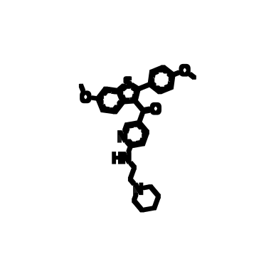 COc1ccc(-c2sc3cc(OC)ccc3c2C(=O)c2ccc(NCCN3CCCCC3)nc2)cc1